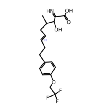 CC(C/C=C/CCc1ccc(OCC(F)(F)F)cc1)C(O)C(=N)C(=O)O